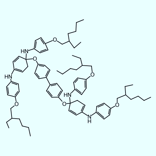 CCCCC(CC)COc1ccc(NC2=CCC(Nc3ccc(OCC(CC)CCCC)cc3)(Oc3ccc(-c4ccc(OC5(Nc6ccc(OCC(CC)CCCC)cc6)C=CC(Nc6ccc(OCC(CC)CCCC)cc6)=CC5)cc4)cc3)C=C2)cc1